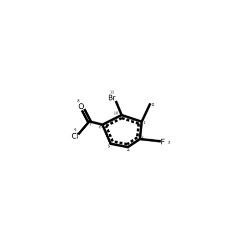 Cc1c(F)ccc(C(=O)Cl)c1Br